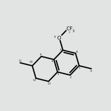 Cc1cc2c(c(OC(F)(F)F)c1)CC(C)CC2